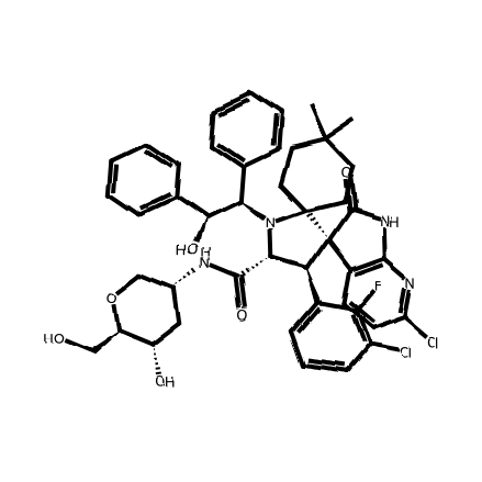 CC1(C)CCC2(CC1)N([C@H](c1ccccc1)[C@@H](O)c1ccccc1)[C@@H](C(=O)N[C@H]1CO[C@H](CO)[C@@H](O)C1)[C@H](c1cccc(Cl)c1F)[C@]21C(=O)Nc2nc(Cl)ccc21